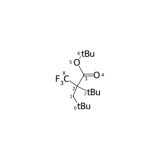 CC(C)(C)CC(C(=O)OC(C)(C)C)(C(C)(C)C)C(F)(F)F